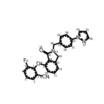 N#Cc1cccc(F)c1Oc1cccc2c1C(=O)N(Cc1ccc(-n3cccn3)cc1)C2